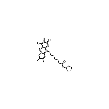 Cc1cc2nc3c(=O)[nH]c(=O)nc-3n(CCCCCCC(=O)OC3CCCC3)c2cc1C